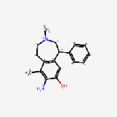 Cc1c(N)c(O)cc2c1CCN(C)CC2c1ccccc1